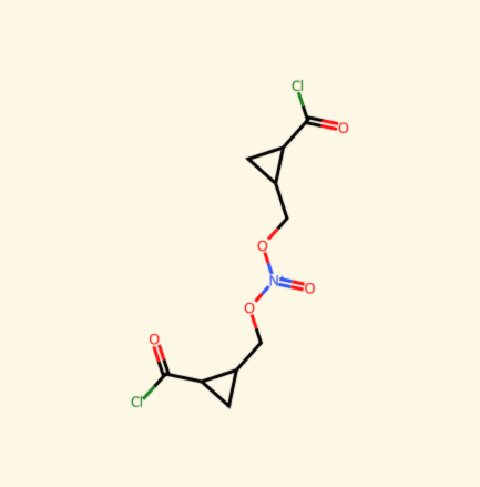 O=C(Cl)C1CC1CO[N+](=O)OCC1CC1C(=O)Cl